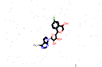 Cc1ncnc2c1ccn2[C@@H]1O[C@H]([C@@H]2OCC(O)c3cc(Cl)ccc32)[C@@H](O)[C@H]1O